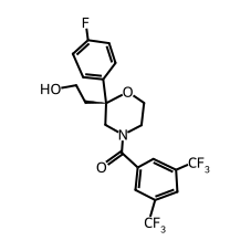 O=C(c1cc(C(F)(F)F)cc(C(F)(F)F)c1)N1CCO[C@@](CCO)(c2ccc(F)cc2)C1